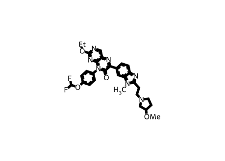 CCOc1ncc2nc(-c3ccc4nc(CCN5CCC(OC)C5)n(C)c4c3)c(=O)n(-c3ccc(OC(F)F)cc3)c2n1